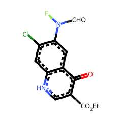 CCOC(=O)c1c[nH]c2cc(Cl)c(N(F)C=O)cc2c1=O